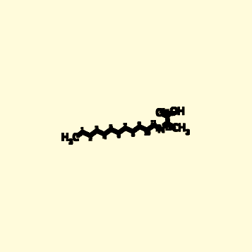 CCCCCCCCCCCCN=C(C)C(=O)O